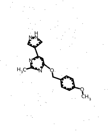 COc1ccc(COc2cc(-c3cn[nH]c3)nc(C)n2)cc1